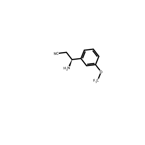 N#CC[C@H](N)c1cccc(OC(F)(F)F)c1